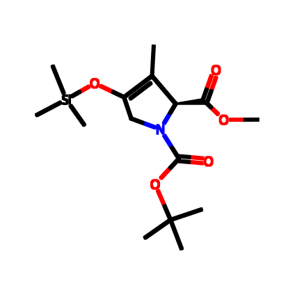 COC(=O)[C@@H]1C(C)=C(O[Si](C)(C)C)CN1C(=O)OC(C)(C)C